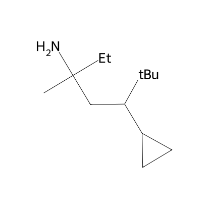 CCC(C)(N)CC(C1CC1)C(C)(C)C